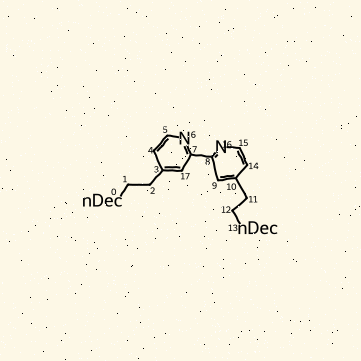 CCCCCCCCCCCCc1ccnc(-c2cc(CCCCCCCCCCCC)ccn2)c1